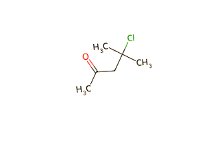 CC(=O)CC(C)(C)Cl